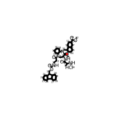 CNC(C)C(=O)N[C@H]1CN(C(=O)CCNC(=O)OCC2c3ccccc3-c3ccccc32)c2ccccc2N(Cc2c(OC)ccc3cc(C(=O)OC)ccc23)C1=O.Cl